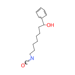 O=C=NCCCCCCCC(O)c1ccccc1